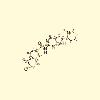 CN1CCCC[C@@H]1c1cc2cnc(NC(=O)c3ccc4c(ccc(=O)n4C)c3)cc2[nH]1